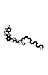 CC/C=C\C/C=C\C/C=C\C/C=C\C/C=C\C/C=C\CCC(=O)N[C@@H](CCC(=O)Nc1cccc2c1CN(C1CCC(=O)NC1=O)C2=O)C(=O)O